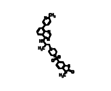 Cc1ccc(-c2cccc3c(NC(C)CN4CCN(S(=O)(=O)c5ccc6c(c5)sc(=O)n6C)CC4)ncnc23)cn1